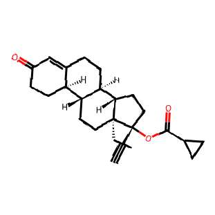 C#C[C@]1(OC(=O)C2CC2)CC[C@H]2[C@@H]3CCC4=CC(=O)CC[C@@H]4[C@H]3CC[C@@]21CC